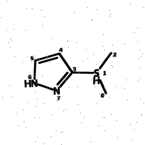 C[SH](C)c1cc[nH]n1